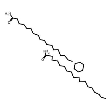 C1CCCCC1.CCCCCCCCCCCCCCCCCC(N)=O.CCCCCCCCCCCCCCCCCC(N)=O